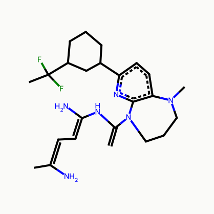 C=C(N/C(N)=C/C=C(/C)N)N1CCCN(C)c2ccc(C3CCCC(C(C)(F)F)C3)nc21